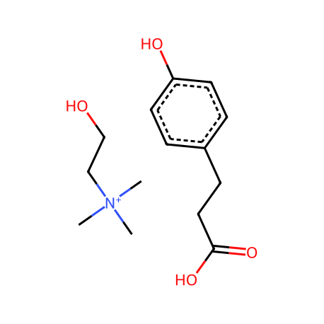 C[N+](C)(C)CCO.O=C(O)CCc1ccc(O)cc1